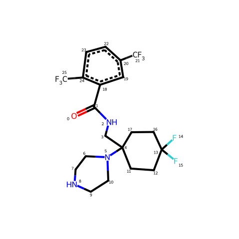 O=C(NCC1(N2CCNCC2)CCC(F)(F)CC1)c1cc(C(F)(F)F)ccc1C(F)(F)F